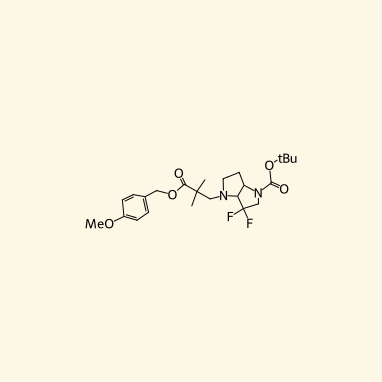 COc1ccc(COC(=O)C(C)(C)CN2CCC3C2C(F)(F)CN3C(=O)OC(C)(C)C)cc1